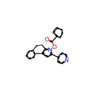 O=C(On1c(-c2ccncc2)cc2c1CCc1ccccc1-2)c1ccccc1